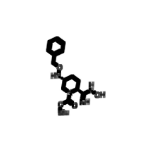 CC(C)(C)OC(=O)N1C[C@H](NOCc2ccccc2)CC[C@H]1C(=N)NO